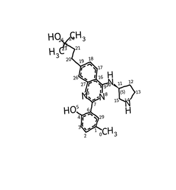 Cc1ccc(O)c(-c2nc(N[C@H]3CCNC3)c3ccc(CCC(C)(C)O)cc3n2)c1